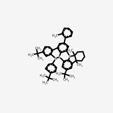 Cc1ccccc1-c1cc2c3c(c1)N1c4c(cc(C(C)(C)C)cc4C4(C)CCCCC14C)B3N(c1ccc(C(C)(C)C)cc1)c1cc(C(C)(C)C)ccc1-2